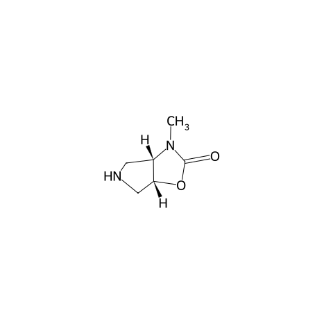 CN1C(=O)O[C@@H]2CNC[C@@H]21